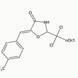 CCCCCCCCC(Cl)(Cl)C1NC(=O)C(=Cc2ccc(C(F)(F)F)cc2)O1